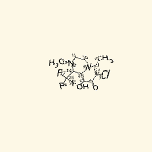 Cc1c(Cl)c(=O)c(O)c2n1CCN(C)C2C(F)(F)F